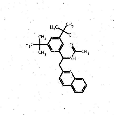 CC(=O)NC(Cc1ccc2ccccc2n1)c1cc(C(C)(C)C)cc(C(C)(C)C)c1